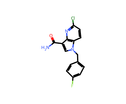 NC(=O)c1cn(Cc2ccc(F)cc2)c2ccc(Cl)nc12